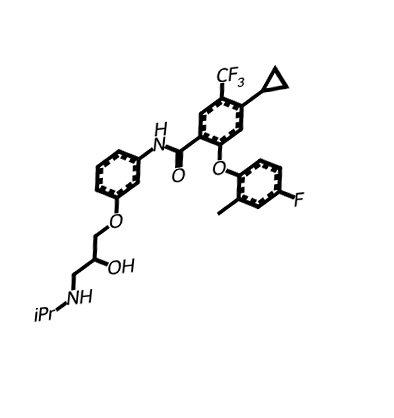 Cc1cc(F)ccc1Oc1cc(C2CC2)c(C(F)(F)F)cc1C(=O)Nc1cccc(OCC(O)CNC(C)C)c1